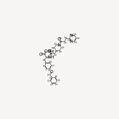 COC(=O)[C@H](Cc1ccc(OCc2ccccc2)cc1)NC(=O)CC1CCN(C(=O)CCc2ncccn2)CC1